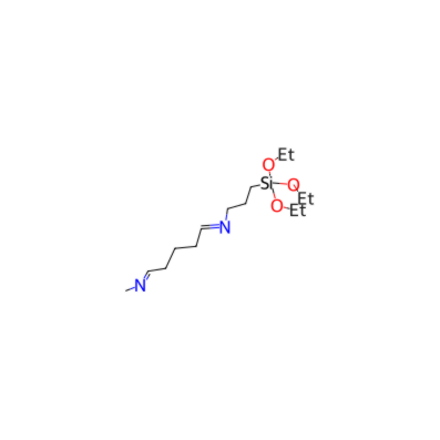 CCO[Si](CCC/N=C/CCCC=NC)(OCC)OCC